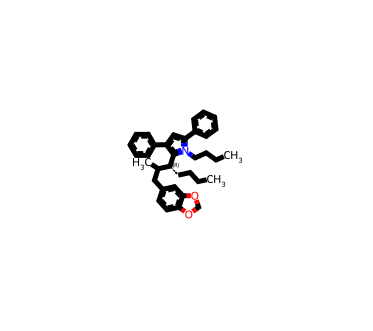 CCCC[C@@H](c1c(-c2ccccc2)cc(-c2ccccc2)n1CCCC)C(C)Cc1ccc2c(c1)OCO2